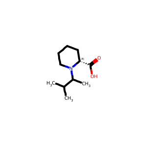 CC(C)C(C)N1CCCC[C@@H]1C(=O)O